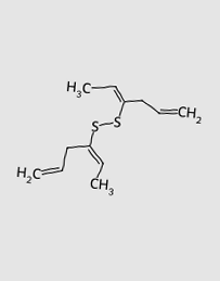 C=CCC(=CC)SSC(=CC)CC=C